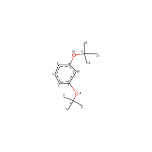 CC(C)(C)Oc1[c]ccc(OC(C)(C)C)c1